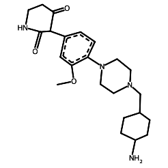 COc1cc(C2C(=O)CCNC2=O)ccc1N1CCN(CC2CCC(N)CC2)CC1